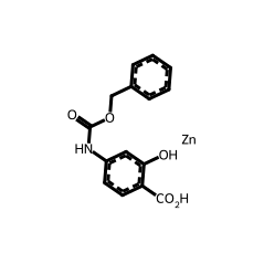 O=C(Nc1ccc(C(=O)O)c(O)c1)OCc1ccccc1.[Zn]